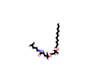 CCCCCCCCCCCOC(C)(C)CCOC(C)(C)CCC(=O)NCCCC(C)C